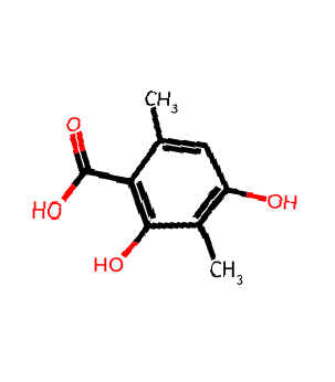 Cc1cc(O)c(C)c(O)c1C(=O)O